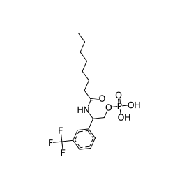 CCCCCCCC(=O)NC(COP(=O)(O)O)c1cccc(C(F)(F)F)c1